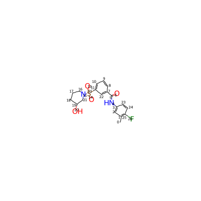 Cc1cc(NC(=O)c2cccc(S(=O)(=O)N3CCCC(O)C3)c2)ccc1F